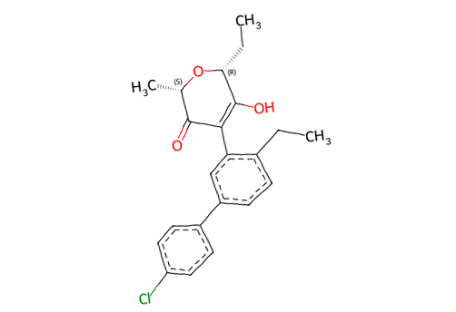 CCc1ccc(-c2ccc(Cl)cc2)cc1C1=C(O)[C@@H](CC)O[C@@H](C)C1=O